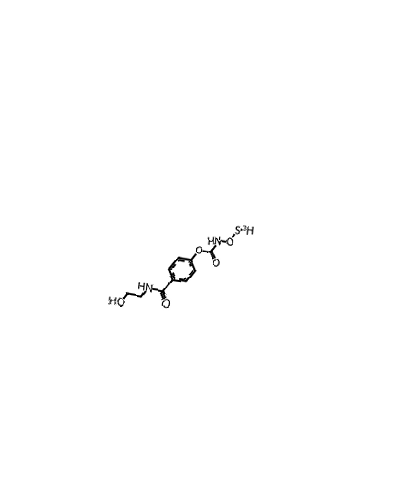 [3H]SONC(=O)Oc1ccc(C(=O)NCCO)cc1